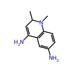 CC1C=C(N)c2cc(N)ccc2N1C